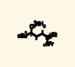 CCCCC(CCN(CC)CCC)ON